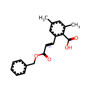 Cc1cc(C)c(C(=O)O)c(/C=C/C(=O)OCc2ccccc2)c1